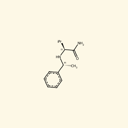 CC(C)[C@H](N[C@H](C)c1ccccc1)C(N)=O